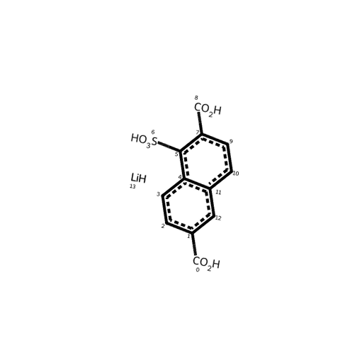 O=C(O)c1ccc2c(S(=O)(=O)O)c(C(=O)O)ccc2c1.[LiH]